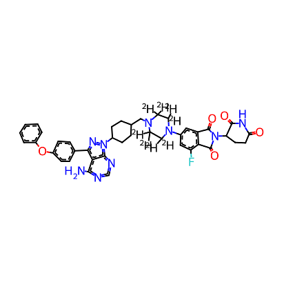 [2H]C1([2H])N(CC2CCC(n3nc(-c4ccc(Oc5ccccc5)cc4)c4c(N)ncnc43)CC2)C([2H])([2H])C([2H])([2H])N(c2cc(F)c3c(c2)C(=O)N(C2CCC(=O)NC2=O)C3=O)C1([2H])[2H]